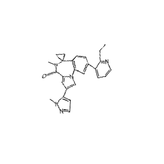 CCc1ncccc1-c1ccc2c(c1)-n1cc(-c3ccnn3C)cc1C(=O)N(C)C21CC1